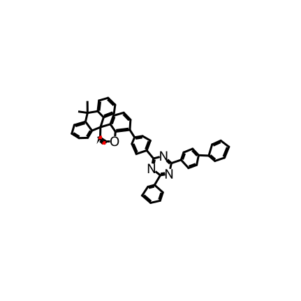 CC1(C)c2ccccc2C2(c3ccccc3Oc3c(-c4ccc(-c5nc(-c6ccccc6)nc(-c6ccc(-c7ccccc7)cc6)n5)cc4)cccc32)c2ccccc21